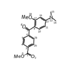 COC(=O)c1ccc(C(=O)c2ccc(N(C)C)cc2OC)cc1